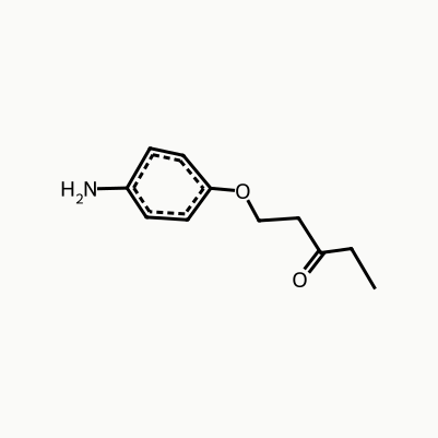 CCC(=O)CCOc1ccc(N)cc1